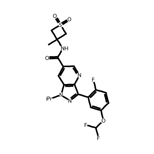 CC(C)n1nc(-c2cc(OC(F)F)ccc2F)c2ncc(C(=O)NC3(C)CS(=O)(=O)C3)cc21